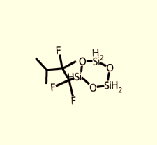 CC(C)C(C)(F)C(F)(F)[SiH]1O[SiH2]O[SiH2]O1